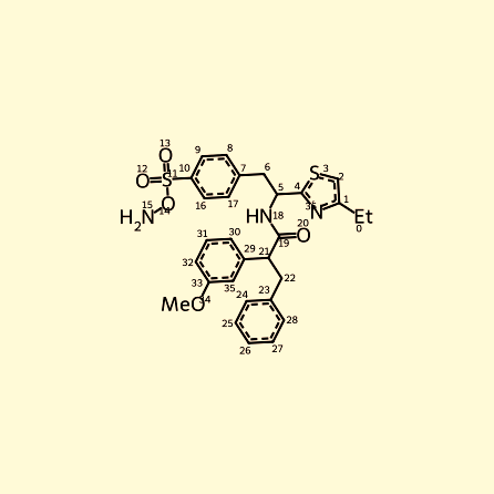 CCc1csc(C(Cc2ccc(S(=O)(=O)ON)cc2)NC(=O)C(Cc2ccccc2)c2cccc(OC)c2)n1